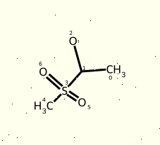 CC([O])S(C)(=O)=O